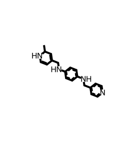 CC1C=C(CNc2ccc(NCc3ccncc3)cc2)C=CN1